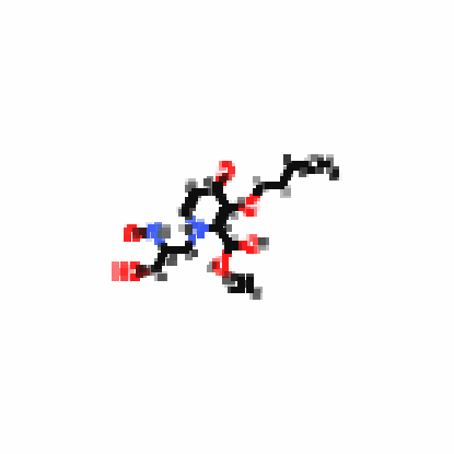 CCCCOc1c(C(=O)OC)n(CC(CO)N=O)ccc1=O